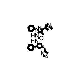 Cc1c(-c2cnn(C)c2)nn(-c2ccccc2)c1NC(=O)N[C@@H]1C[C@@H](Cc2cscn2)C[C@H]1c1ccccc1